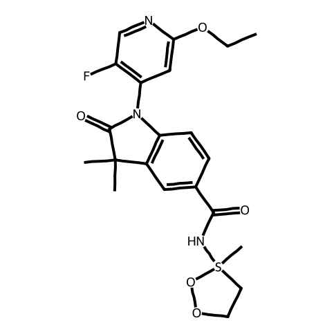 CCOc1cc(N2C(=O)C(C)(C)c3cc(C(=O)NS4(C)CCOO4)ccc32)c(F)cn1